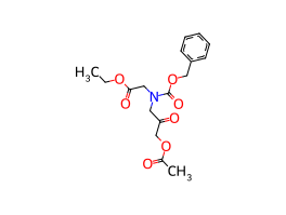 CCOC(=O)CN(CC(=O)COC(C)=O)C(=O)OCc1ccccc1